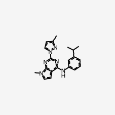 Cc1ccn(-c2nc(Nc3cccc(C(C)C)c3)c3ccn(C)c3n2)n1